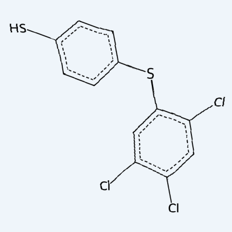 Sc1ccc(Sc2cc(Cl)c(Cl)cc2Cl)cc1